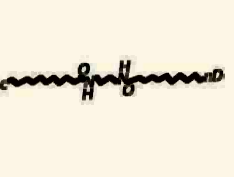 CCCCCCCCCCCCCCCCCCCCC(=O)NCCCCNC(=O)CCCCCCCCCCCCCCCCCCCC